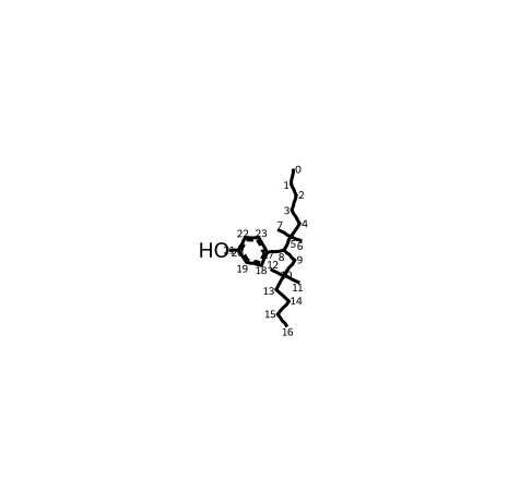 CCCCCC(C)(C)C(CC(C)(C)CCCC)c1ccc(O)cc1